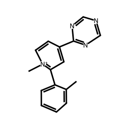 Cc1ccccc1-c1cc(-c2ncncn2)cc[n+]1C